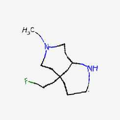 CN1CC2N[CH]CC2(CF)C1